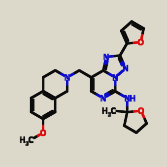 COc1ccc2c(c1)CN(Cc1cnc(NC3(C)CCCO3)n3nc(-c4ccco4)nc13)CC2